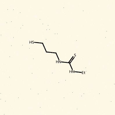 CCNC(=S)NCCCS